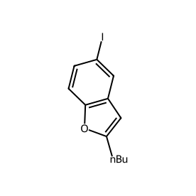 CCCCc1cc2cc(I)ccc2o1